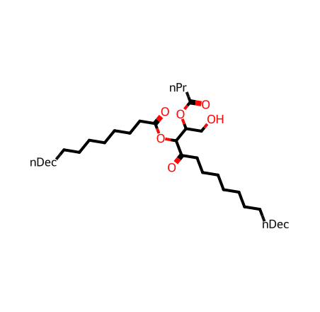 CCCCCCCCCCCCCCCCCC(=O)OC(C(=O)CCCCCCCCCCCCCCCCC)C(CO)OC(=O)CCC